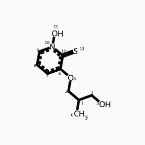 CC(CO)COc1cccn(O)c1=S